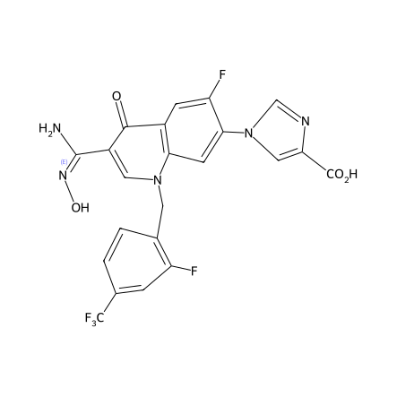 N/C(=N/O)c1cn(Cc2ccc(C(F)(F)F)cc2F)c2cc(-n3cnc(C(=O)O)c3)c(F)cc2c1=O